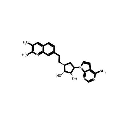 Nc1nc2cc(CC[C@H]3C[C@@H](n4ccc5c(N)ncnc54)[C@H](O)[C@@H]3O)ccc2cc1C(F)(F)F